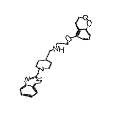 c1cc(OCCNCC2CCN(c3nc4ccccc4s3)CC2)c2c(c1)OOCC2